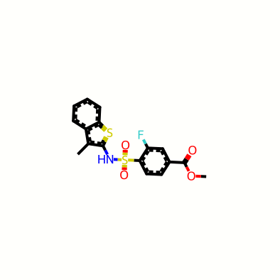 COC(=O)c1ccc(S(=O)(=O)Nc2sc3ccccc3c2C)c(F)c1